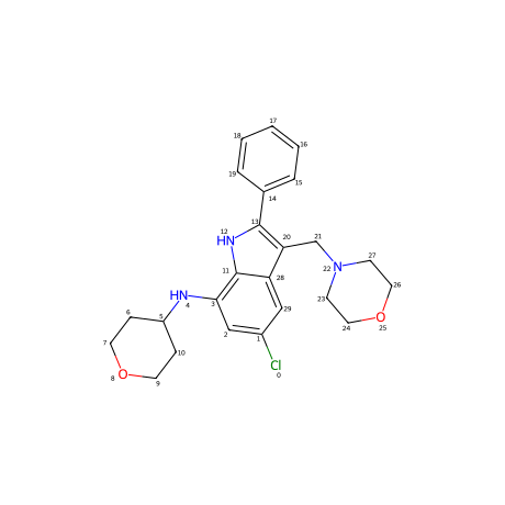 Clc1cc(NC2CCOCC2)c2[nH]c(-c3ccccc3)c(CN3CCOCC3)c2c1